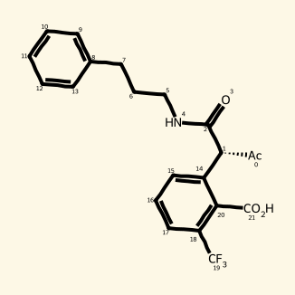 CC(=O)[C@@H](C(=O)NCCCc1ccccc1)c1cccc(C(F)(F)F)c1C(=O)O